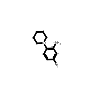 [2H]c1ccc(N2CCCCC2)c(N)c1